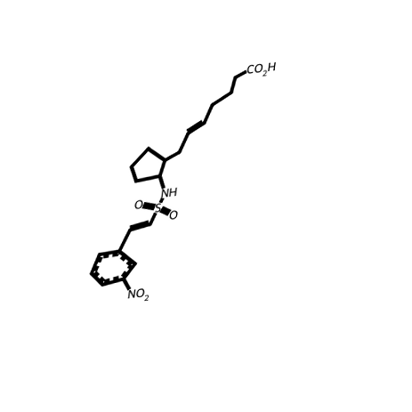 O=C(O)CCCC=CCC1CCCC1NS(=O)(=O)C=Cc1cccc([N+](=O)[O-])c1